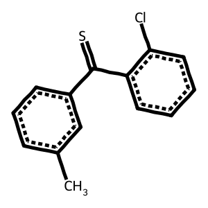 Cc1cccc(C(=S)c2ccccc2Cl)c1